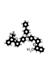 Cc1cc2ccccc2c2c1oc1c(-c3ccc(N(c4ccc(-c5ccccc5)cc4)c4ccc(-c5cccc6c5oc5c(C(F)(F)F)cc7ccccc7c56)cc4)cc3)cccc12